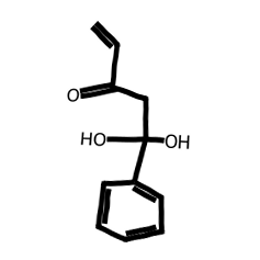 C=CC(=O)CC(O)(O)c1ccccc1